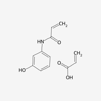 C=CC(=O)Nc1cccc(O)c1.C=CC(=O)O